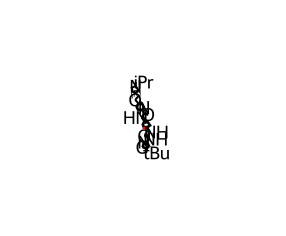 CC(C)N1CC[C@@H](COc2ccc(C(=O)Nc3ccc(NC(=O)Nc4cc(C(C)(C)C)on4)cc3)nc2)C1